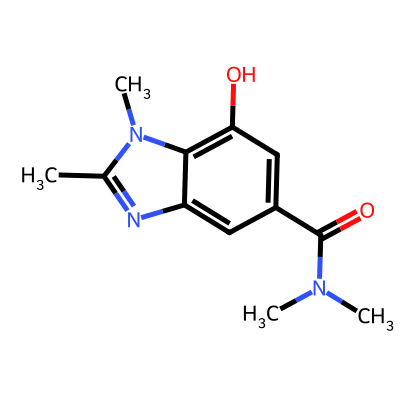 Cc1nc2cc(C(=O)N(C)C)cc(O)c2n1C